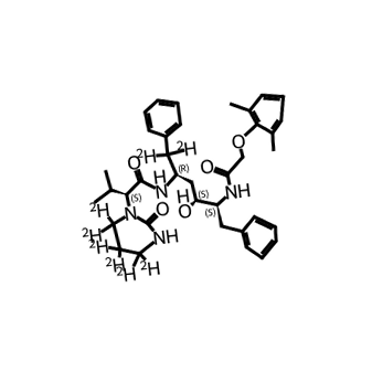 [2H]C([2H])(c1ccccc1)[C@@H](C[C@H](O)[C@H](Cc1ccccc1)NC(=O)COc1c(C)cccc1C)NC(=O)[C@H](C(C)C)N1C(=O)NC([2H])([2H])C([2H])([2H])C1([2H])[2H]